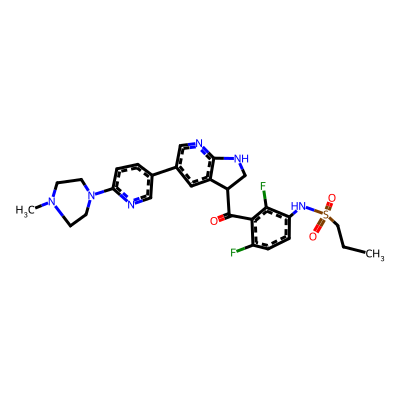 CCCS(=O)(=O)Nc1ccc(F)c(C(=O)C2CNc3ncc(-c4ccc(N5CCN(C)CC5)nc4)cc32)c1F